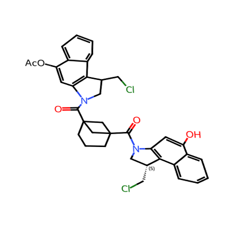 CC(=O)Oc1cc2c(c3ccccc13)C(CCl)CN2C(=O)C12CCCC(C(=O)N3C[C@@H](CCl)c4c3cc(O)c3ccccc43)(C1)C2